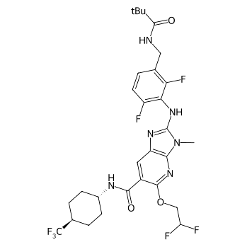 Cn1c(Nc2c(F)ccc(CNC(=O)C(C)(C)C)c2F)nc2cc(C(=O)N[C@H]3CC[C@H](C(F)(F)F)CC3)c(OCC(F)F)nc21